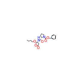 CCCCO[C@H]1OC(=O)C[C@@H]1NC(=O)[C@@H]1CCCN1C(=O)OCc1ccccc1